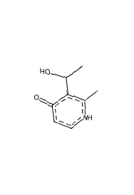 Cc1[nH]ccc(=O)c1C(C)O